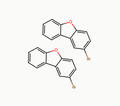 Brc1ccc2oc3ccccc3c2c1.Brc1ccc2oc3ccccc3c2c1